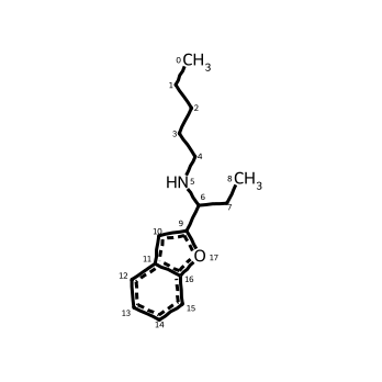 CCCCCNC(CC)c1cc2ccccc2o1